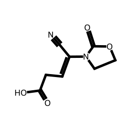 N#C/C(=C\CC(=O)O)N1CCOC1=O